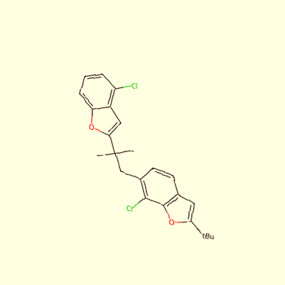 CC(C)(C)c1cc2ccc(CC(C)(C)c3cc4c(Cl)cccc4o3)c(Cl)c2o1